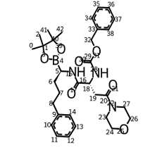 CC1(C)OB([C@H](CCCc2ccccc2)NC(=O)[C@@H](CC(=O)N2CCOCC2)NC(=O)OCc2ccccc2)OC1(C)C